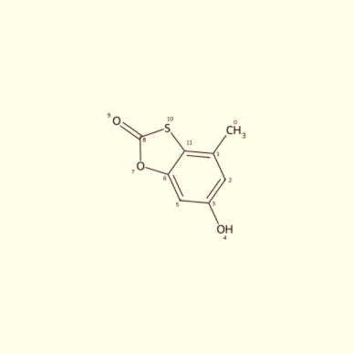 Cc1cc(O)cc2oc(=O)sc12